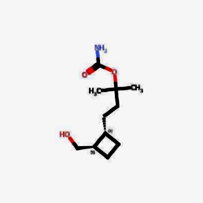 CC(C)(CC[C@@H]1CC[C@H]1CO)OC(N)=O